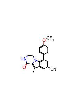 Cc1c2n(c3c(-c4ccc(OC(F)(F)F)cc4)cc(C#N)cc13)CCNC2=O